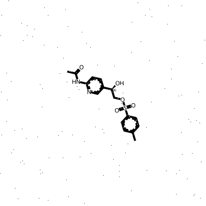 CC(=O)Nc1ccc([C@@H](O)COS(=O)(=O)c2ccc(C)cc2)cn1